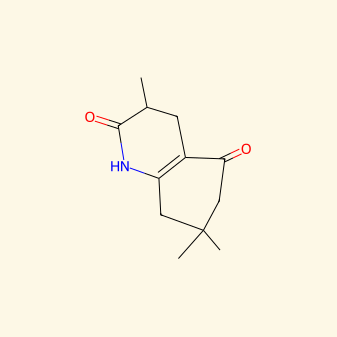 CC1CC2=C(CC(C)(C)CC2=O)NC1=O